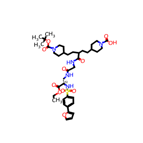 CCOC(=O)[C@H](CNC(=O)CNC(=O)C(CCC1CCN(C(=O)O)CC1)CCC1CCN(C(=O)OC(C)(C)C)CC1)NS(=O)(=O)c1ccc(-c2ccco2)cc1